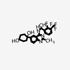 Cc1nc(N[C@H](C)c2cccc(C(F)(F)F)c2F)c2cc([C@]3(O)CC[C@@H](O)CC3)ccc2n1